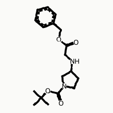 CC(C)(C)OC(=O)N1CCC(NCC(=O)OCc2ccccc2)C1